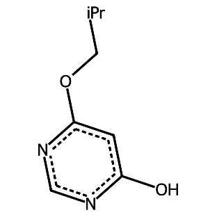 CC(C)COc1cc(O)ncn1